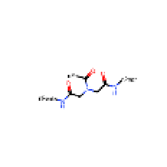 CCCCCNC(=O)CN(CC(=O)NCCCCC)C(=O)CCC